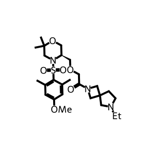 CCN1CCC2(C1)CN(C(=O)COC[C@@H]1COC(C)(C)CN1S(=O)(=O)c1c(C)cc(OC)cc1C)C2